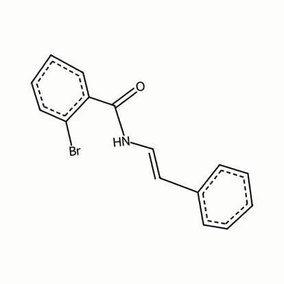 O=C(NC=Cc1ccccc1)c1ccccc1Br